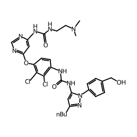 CCCCc1cc(NC(=O)Nc2ccc(Oc3cc(NC(=O)NCCN(C)C)ncn3)c(Cl)c2Cl)n(-c2ccc(CO)cc2)n1